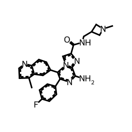 Cc1ccnc2ccc(-c3c(-c4ccc(F)cc4)nc(N)c4nc(C(=O)NCC5CN(C)C5)cn34)cc12